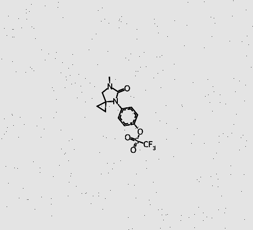 CN1CC2(CC2)N(c2ccc(OS(=O)(=O)C(F)(F)F)cc2)C1=O